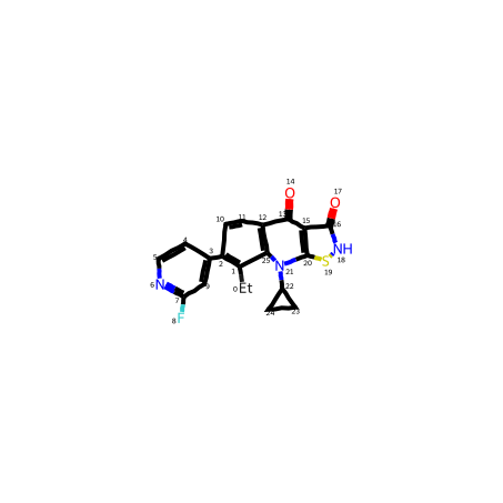 CCc1c(-c2ccnc(F)c2)ccc2c(=O)c3c(=O)[nH]sc3n(C3CC3)c12